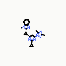 Cc1nc(C)n(-c2cc([C@H]3C[C@@H]3c3nc4ccccc4n3C)nc(C3CC3)n2)n1